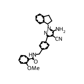 COc1ccccc1C(=O)NCc1ccc(-c2nn([C@@H]3CCc4ccccc43)c(N)c2C#N)cc1